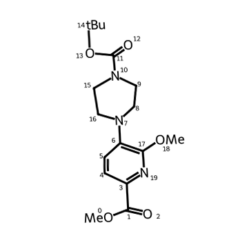 COC(=O)c1ccc(N2CCN(C(=O)OC(C)(C)C)CC2)c(OC)n1